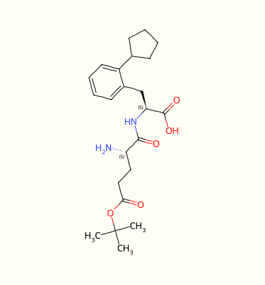 CC(C)(C)OC(=O)CC[C@H](N)C(=O)N[C@@H](Cc1ccccc1C1CCCC1)C(=O)O